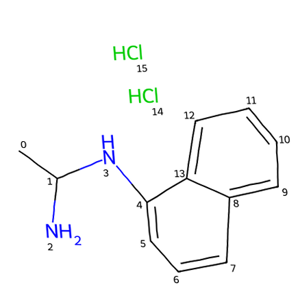 CC(N)Nc1cccc2ccccc12.Cl.Cl